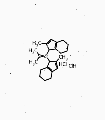 CC1=CC2=C(CCCC2)[CH]1[Zr]([CH]1C(C)=CC2=C1CCCC2)=[Si](C)C.Cl.Cl